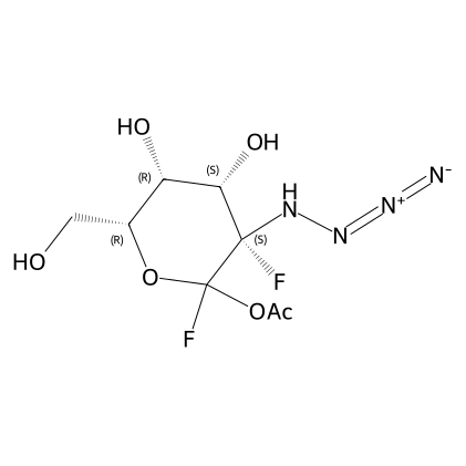 CC(=O)OC1(F)O[C@H](CO)[C@H](O)[C@H](O)[C@@]1(F)NN=[N+]=[N-]